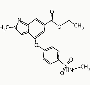 CCOC(=O)c1cc(Oc2ccc(S(=O)(=O)NC)cc2)c2cn(C)nc2c1